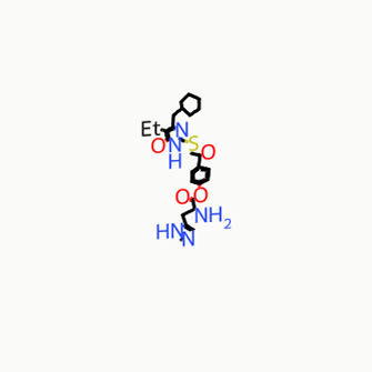 CCc1c(CC2CCCCC2)nc(SCC(=O)c2ccc(OC(=O)C(N)Cc3cnc[nH]3)cc2)[nH]c1=O